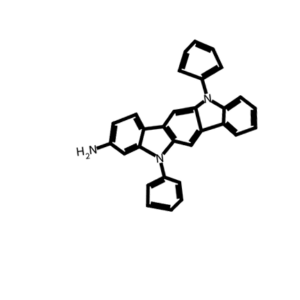 Nc1ccc2c3cc4c(cc3n(-c3ccccc3)c2c1)c1ccccc1n4-c1ccccc1